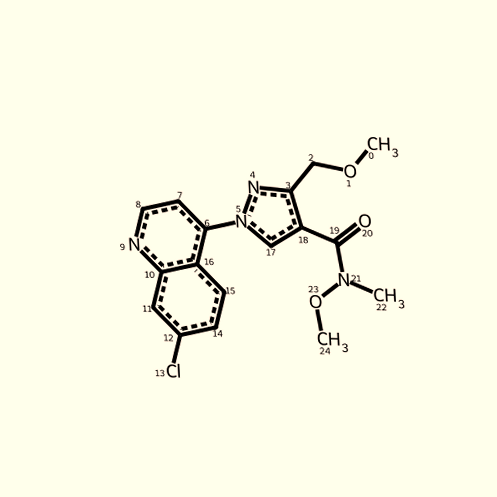 COCc1nn(-c2ccnc3cc(Cl)ccc23)cc1C(=O)N(C)OC